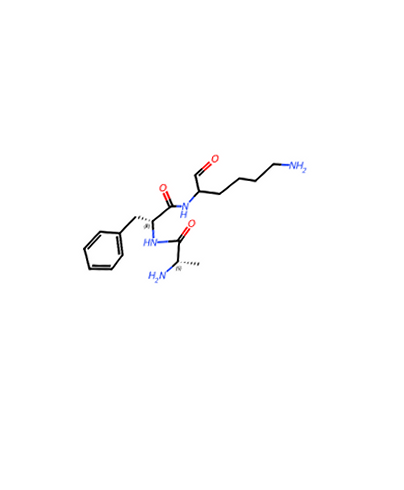 C[C@H](N)C(=O)N[C@H](Cc1ccccc1)C(=O)NC(C=O)CCCCN